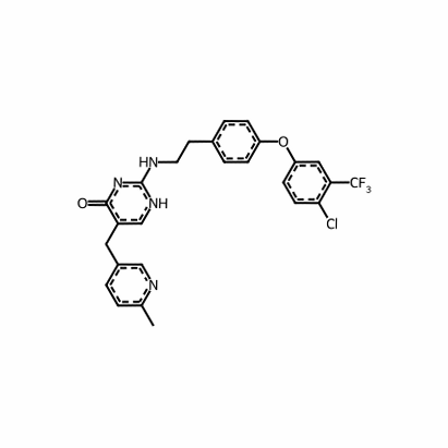 Cc1ccc(Cc2c[nH]c(NCCc3ccc(Oc4ccc(Cl)c(C(F)(F)F)c4)cc3)nc2=O)cn1